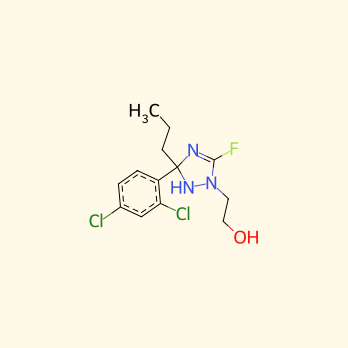 CCCC1(c2ccc(Cl)cc2Cl)N=C(F)N(CCO)N1